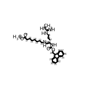 CNC(=N)NCCC[C@@H](CNCCCCCCCC(=O)OC)NC(=O)OCC1c2ccccc2-c2ccccc21